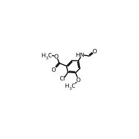 COC(=O)c1cc(NC=O)cc(OC)c1Cl